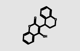 O=c1oc2ccccc2c(O)c1C1CCOc2ccccc21